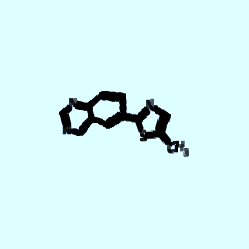 Cc1cnc(-c2ccc3ncncc3c2)s1